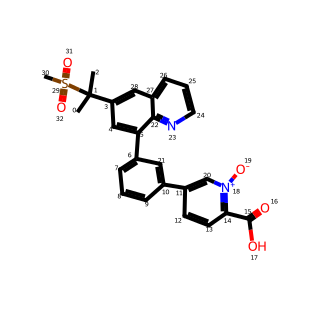 CC(C)(c1cc(-c2cccc(-c3ccc(C(=O)O)[n+]([O-])c3)c2)c2ncccc2c1)S(C)(=O)=O